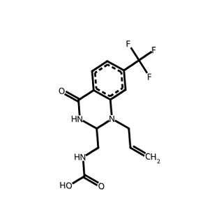 C=CCN1c2cc(C(F)(F)F)ccc2C(=O)NC1CNC(=O)O